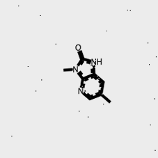 Cc1cnc2c(c1)[nH]c(=O)n2C